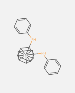 c1ccc(P[C]23[CH]4[CH]5[CH]6[C]2(Pc2ccccc2)[Fe]54632789[CH]3[CH]2[CH]7[CH]8[CH]39)cc1